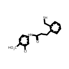 O=C(CCc1ccccc1CS)Nc1ccc(C(=O)O)c(Cl)c1